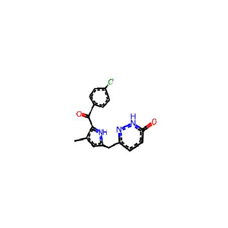 Cc1cc(Cc2ccc(=O)[nH]n2)[nH]c1C(=O)c1ccc(Cl)cc1